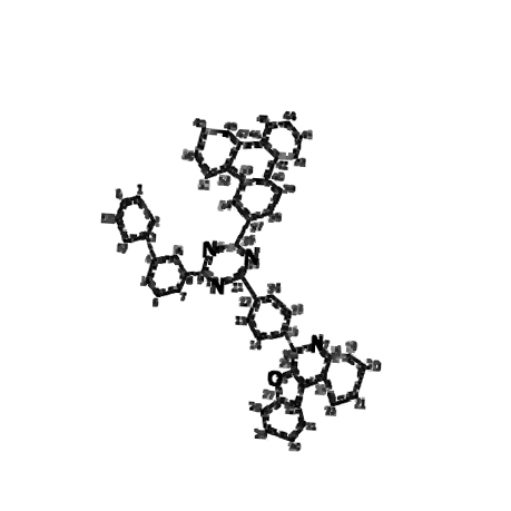 c1ccc(-c2cccc(-c3nc(-c4ccc(-c5nc6ccccc6c6c5oc5ccccc56)cc4)nc(-c4ccc5c6ccccc6c6ccccc6c5c4)n3)c2)cc1